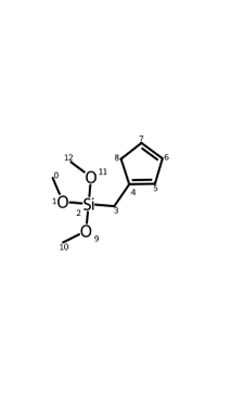 CO[Si](CC1=CC=CC1)(OC)OC